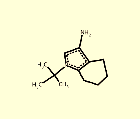 CC(C)(C)n1cc(N)c2c1CCCC2